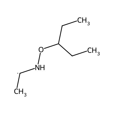 C[CH]NOC(CC)CC